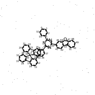 c1ccc(-c2nc(-c3ccc(-c4cccc5c4C4(c6ccccc6-c6ccccc64)c4ccccc4-5)cc3)nc(-c3ccc4c(c3)oc3ccccc34)n2)cc1